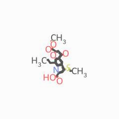 CCCc1c2nc(C(=O)O)cc(SCC)c2cc2c(=O)cc(C(=O)OCC)oc12